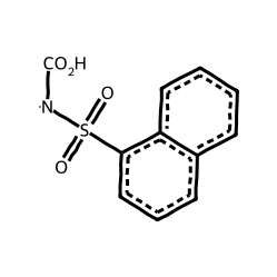 O=C(O)[N]S(=O)(=O)c1cccc2ccccc12